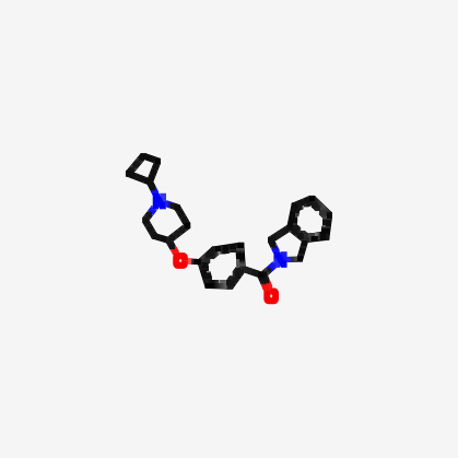 O=C(c1ccc(OC2CCN(C3CCC3)CC2)cc1)N1Cc2ccccc2C1